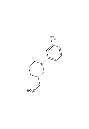 O=C(O)CC1CCCN(c2cccc([N+](=O)[O-])c2)C1